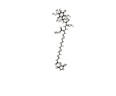 COC(=O)N(CCOCCOCCOCCOCCC(=O)ON1C(=O)CCC1=O)CCN(C)C(=O)CC(C)(C)C1=C(C)C(=O)C(C)=C(C)C1=O